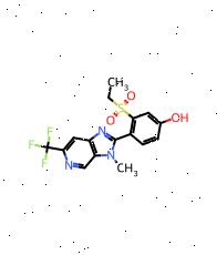 CCS(=O)(=O)c1cc(O)ccc1-c1nc2cc(C(F)(F)F)ncc2n1C